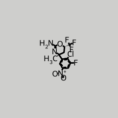 C[C@@]1(c2cc([N+](=O)[O-])cc(F)c2Cl)C[C@@H](C(F)(F)F)OC(N)=N1